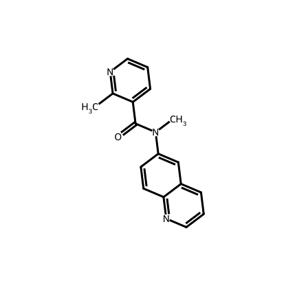 Cc1ncccc1C(=O)N(C)c1ccc2ncccc2c1